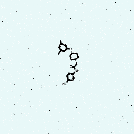 Cc1cc(C)cc(O[C@H]2CC[C@H](CC(=O)Nc3ccc(C#N)cc3)CC2)c1